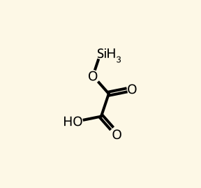 O=C(O)C(=O)O[SiH3]